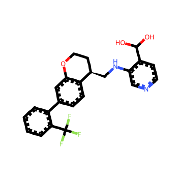 OC(O)c1ccncc1NC[C@@H]1CCOc2cc(-c3ccccc3C(F)(F)F)ccc21